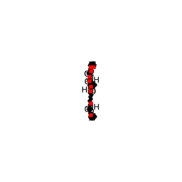 O=C(CCCCCCCNC(=O)OCc1ccccc1)Nc1cccc(C(=O)NCCC(=O)OCc2ccccc2)c1